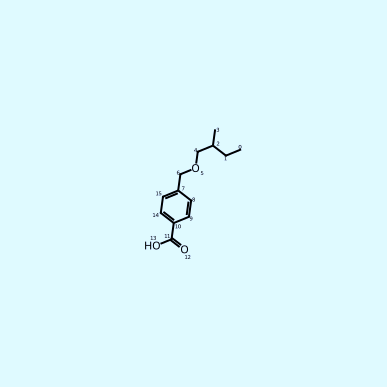 CCC(C)COCc1ccc(C(=O)O)cc1